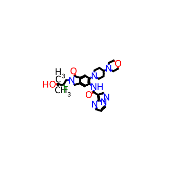 CC(C)(O)C(F)CN1Cc2cc(NC(=O)c3cnn4cccnc34)c(N3CCC(N4CCOCC4)CC3)cc2C1=O